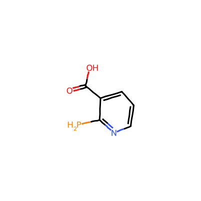 O=C(O)c1cccnc1P